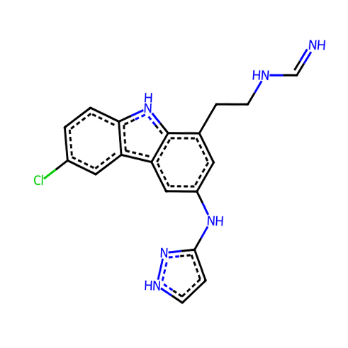 N=CNCCc1cc(Nc2cc[nH]n2)cc2c1[nH]c1ccc(Cl)cc12